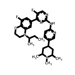 CCC(C)N1CCOc2c(F)cc(-c3nc(Nc4ccc(C5CC(C)N(C)C(C)C5)cn4)ncc3F)cc21